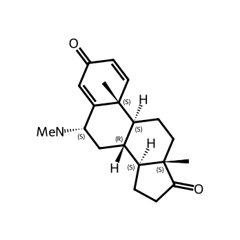 CN[C@H]1C[C@@H]2[C@H](CC[C@]3(C)C(=O)CC[C@@H]23)[C@@]2(C)C=CC(=O)C=C12